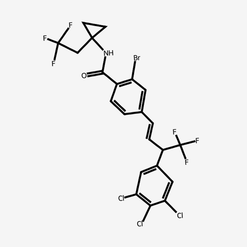 O=C(NC1(CC(F)(F)F)CC1)c1ccc(/C=C/C(c2cc(Cl)c(Cl)c(Cl)c2)C(F)(F)F)cc1Br